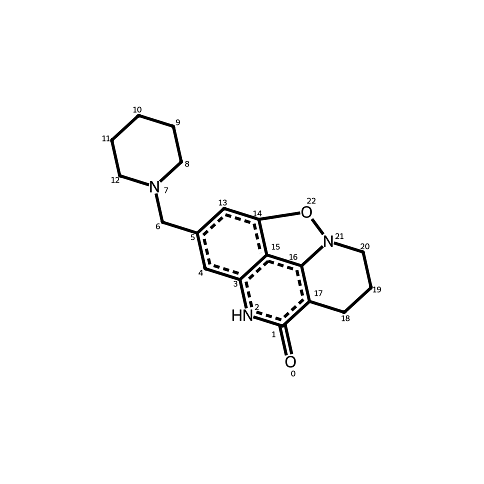 O=c1[nH]c2cc(CN3CCCCC3)cc3c2c2c1CCCN2O3